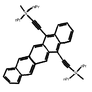 CCC[Si](C)(C#Cc1c2ccccc2c(C#C[Si](C)(CCC)CCC)c2cc3cc4ccccc4cc3cc12)CCC